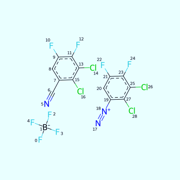 F[B-](F)(F)F.N#Cc1cc(F)c(F)c(Cl)c1Cl.N#[N+]c1cc(F)c(F)c(Cl)c1Cl